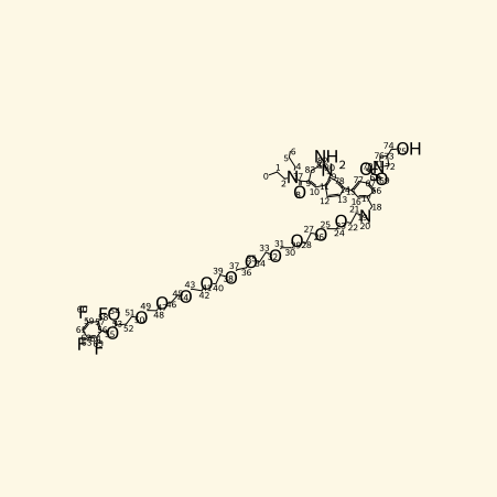 CCCN(CCC)C(=O)C1=Cc2ccc(-c3cc(CN(C)CCOCCOCCOCCOCCOCCOCCOCCOCCOCCOCCC(=O)Oc4c(F)c(F)cc(F)c4F)cc(S(=O)(=O)N4CC(CO)C4)c3)cc2N=C(N)C1